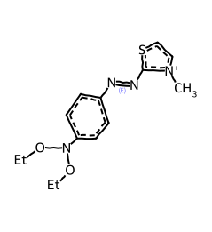 CCON(OCC)c1ccc(/N=N/c2scc[n+]2C)cc1